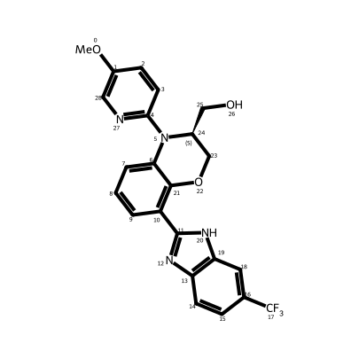 COc1ccc(N2c3cccc(-c4nc5ccc(C(F)(F)F)cc5[nH]4)c3OC[C@@H]2CO)nc1